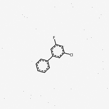 Fc1[c]c(Cl)cc(-c2ccccc2)c1